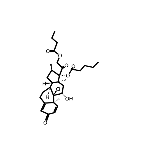 CCCCC(=O)O[C@@]1(C(=O)COC(=O)CCC)[C@H](C)C[C@H]2[C@@H]3CCC4=CC(=O)C=C[C@]4(C)[C@@]3(Cl)[C@@H](O)C[C@@]21C